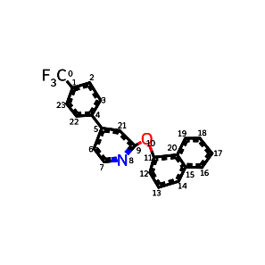 FC(F)(F)c1ccc(-c2ccnc(Oc3cccc4ccccc34)c2)cc1